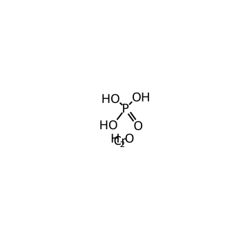 O.O=P(O)(O)O.[Cr]